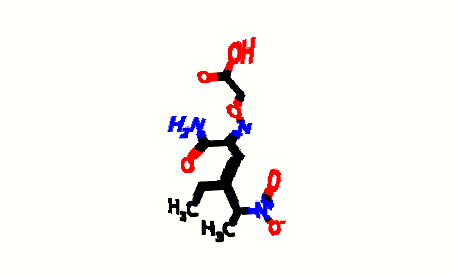 CC/C(=C\C(=N\OCC(=O)O)C(N)=O)C(C)[N+](=O)[O-]